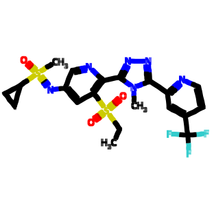 CCS(=O)(=O)c1cc(N=S(C)(=O)C2CC2)cnc1-c1nnc(-c2cc(C(F)(F)F)ccn2)n1C